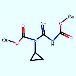 CC(C)(C)OC(=O)NC(=N)N(C(=O)OC(C)(C)C)C1CC1